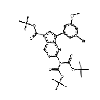 COc1cc(Br)cc(-c2cn(C(=O)OC(C)(C)C)c3cnc(N(C(=O)OC(C)(C)C)C(=O)OC(C)(C)C)nc23)c1